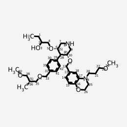 CCC(O)CO[C@@H]1CNC[C@H](OCc2ccc3c(c2)N(CCCOC)CCO3)C1c1ccc(COC[C@@H](C)COC)cc1